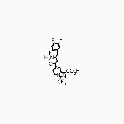 NC(CC(=O)N1CCn2c(C(F)(F)F)nc(C(=O)O)c2C1)Cc1cc(F)c(F)cc1F